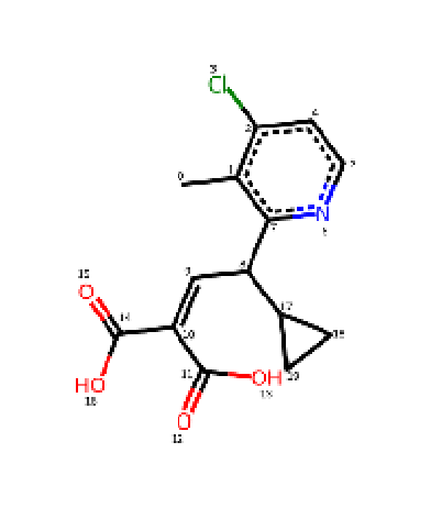 Cc1c(Cl)ccnc1C(C=C(C(=O)O)C(=O)O)C1CC1